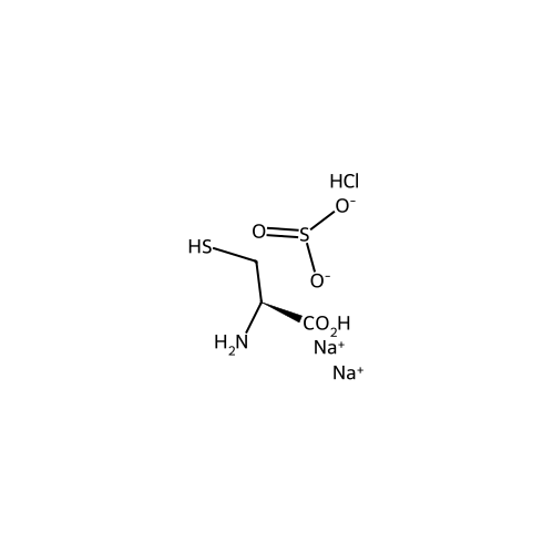 Cl.N[C@@H](CS)C(=O)O.O=S([O-])[O-].[Na+].[Na+]